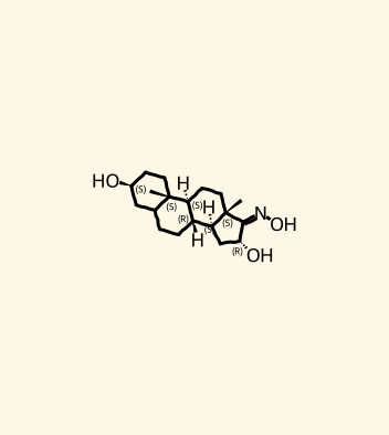 C[C@]12CC[C@H](O)CC1CC[C@@H]1[C@@H]2CC[C@]2(C)C(=NO)[C@H](O)C[C@@H]12